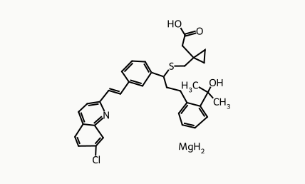 CC(C)(O)c1ccccc1CCC(SCC1(CC(=O)O)CC1)c1cccc(C=Cc2ccc3ccc(Cl)cc3n2)c1.[MgH2]